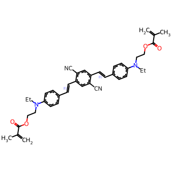 C=C(C)C(=O)OCCN(CC)c1ccc(/C=C/c2cc(C#N)c(/C=C/c3ccc(N(CC)CCOC(=O)C(=C)C)cc3)cc2C#N)cc1